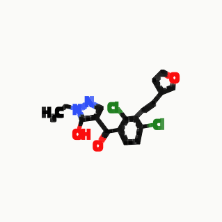 CCn1ncc(C(=O)c2ccc(Cl)c(C=Cc3ccoc3)c2Cl)c1O